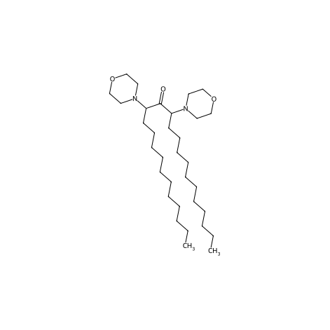 CCCCCCCCCCCC(C(=O)C(CCCCCCCCCCC)N1CCOCC1)N1CCOCC1